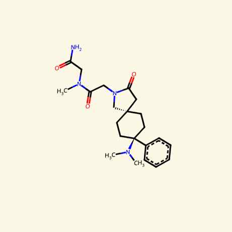 CN(CC(N)=O)C(=O)CN1C[C@]2(CC[C@](c3ccccc3)(N(C)C)CC2)CC1=O